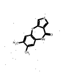 Cc1cc2c(cc1C)Sc1cscc1C(=O)N2